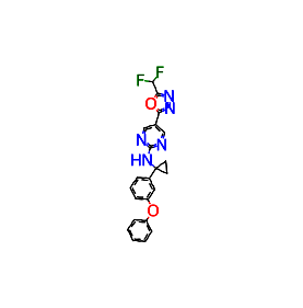 FC(F)c1nnc(-c2cnc(NC3(c4cccc(Oc5ccccc5)c4)CC3)nc2)o1